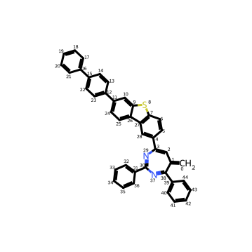 C=C1C=C(c2ccc3sc4cc(-c5ccc(-c6ccccc6)cc5)ccc4c3c2)N=C(c2ccccc2)N=C1c1ccccc1